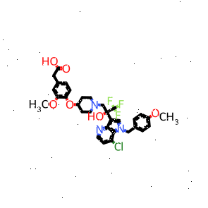 COc1ccc(Cn2cc(C(O)(CN3CCC(Oc4ccc(CC(=O)O)cc4OC)CC3)C(F)(F)F)c3nccc(Cl)c32)cc1